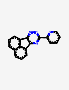 c1ccc(-c2nnc3c(n2)-c2cccc4cccc-3c24)nc1